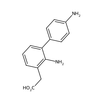 Nc1ccc(-c2cccc(CC(=O)O)c2N)cc1